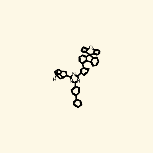 c1ccc(-c2ccc(-c3nc(-c4cccc(-c5cccc6c5-c5ccccc5C65c6ccccc6Oc6ccccc65)c4)nc(C45CC6C7C[C@@H](C4)C6(C7)C5)n3)cc2)cc1